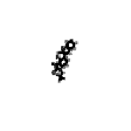 Cn1c(=O)n(CC2(C)CC2)c2ccc(-c3cc4ccccc4nc3F)c(F)c21